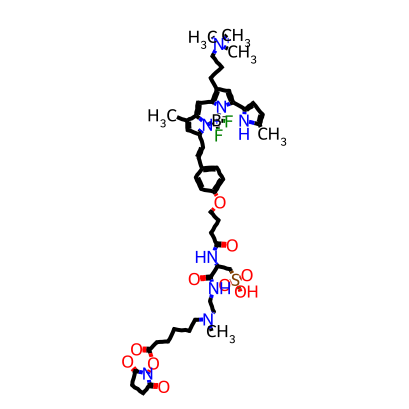 CC1=CC(/C=C/c2ccc(OCCCC(=O)NC(CS(=O)(=O)O)C(=O)NCCN(C)CCCCCC(=O)ON3C(=O)CCC3=O)cc2)=[N+]2C1=Cc1c(CCC[N+](C)(C)C)cc(-c3ccc(C)[nH]3)n1[B-]2(F)F